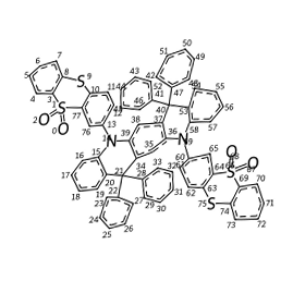 O=S1(=O)c2ccccc2Sc2ccc(N3c4ccccc4C(c4ccccc4)(c4ccccc4)c4cc5c(cc43)C(c3ccccc3)(c3ccccc3)c3ccccc3N5c3ccc4c(c3)S(=O)(=O)c3ccccc3S4)cc21